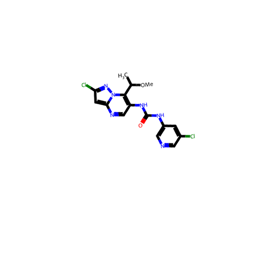 COC(C)c1c(NC(=O)Nc2cncc(Cl)c2)cnc2cc(Cl)nn12